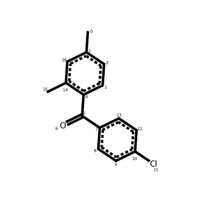 Cc1ccc(C(=O)c2ccc(Cl)cc2)c(C)c1